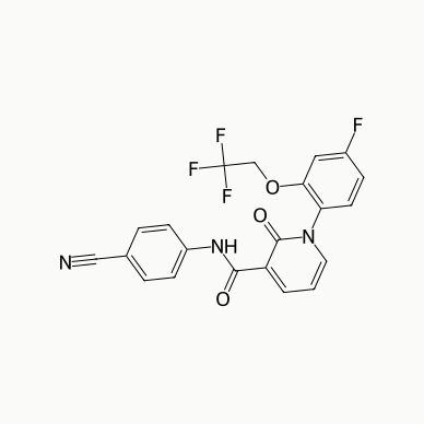 N#Cc1ccc(NC(=O)c2cccn(-c3ccc(F)cc3OCC(F)(F)F)c2=O)cc1